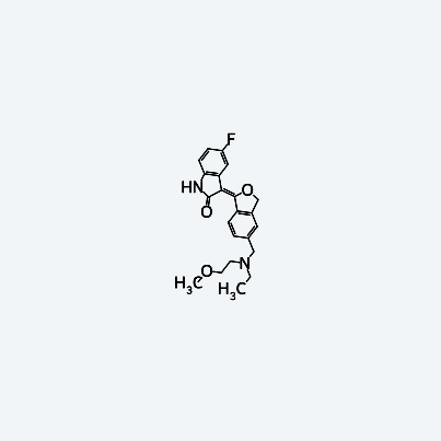 CCN(CCOC)Cc1ccc2c(c1)COC2=C1C(=O)Nc2ccc(F)cc21